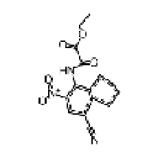 CCOC(=O)C(=O)Nc1c([N+](=O)[O-])cc(C#N)c2ccccc12